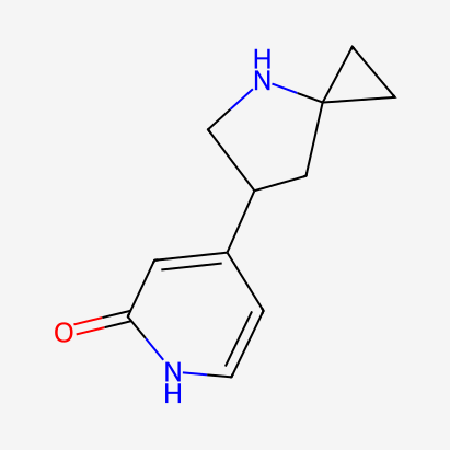 O=c1cc(C2CNC3(CC3)C2)cc[nH]1